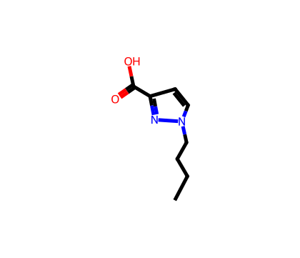 CCCCn1ccc(C(=O)O)n1